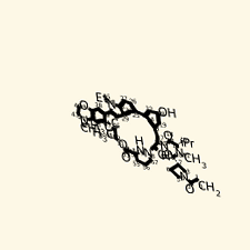 C=CC(=O)N1CC[C@H](C(=O)N(C)[C@H](C(=O)N[C@H]2Cc3cc(O)cc(c3)-c3ccc4c(c3)c(c(-c3ccc5c(c3)OCCN5C)n4CC)CC(C)(C)COC(=O)[C@@H]3CCCN(N3)C2=O)C(C)C)C1